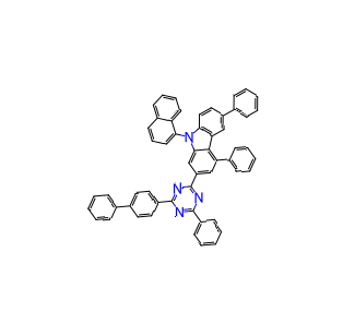 c1ccc(-c2ccc(-c3nc(-c4ccccc4)nc(-c4cc(-c5ccccc5)c5c6cc(-c7ccccc7)ccc6n(-c6cccc7ccccc67)c5c4)n3)cc2)cc1